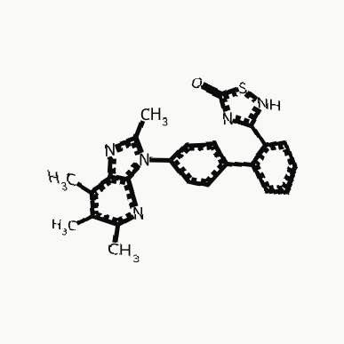 Cc1nc2c(nc(C)n2-c2ccc(-c3ccccc3-c3nc(=O)s[nH]3)cc2)c(C)c1C